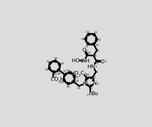 CCCCc1nc(CNC(=O)C(Cc2ccccc2)C(=O)NO)c(C(=O)O)n1Cc1ccc(-c2ccccc2C(=O)O)cc1